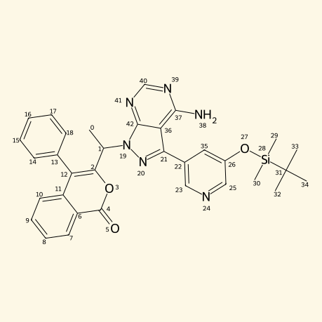 CC(c1oc(=O)c2ccccc2c1-c1ccccc1)n1nc(-c2cncc(O[Si](C)(C)C(C)(C)C)c2)c2c(N)ncnc21